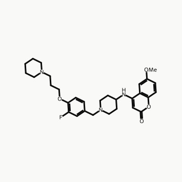 COc1ccc2oc(=O)cc(NC3CCN(Cc4ccc(OCCCN5CCCCC5)c(F)c4)CC3)c2c1